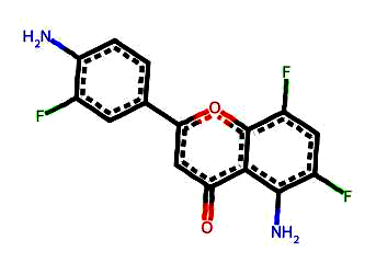 Nc1ccc(-c2cc(=O)c3c(N)c(F)cc(F)c3o2)cc1F